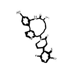 CC1CCCC(N2CCC(c3c(F)ccc(Cl)c3F)=CC2=O)c2cc(ccn2)-c2ccc(O)cc2NC1=O